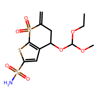 C=C1CC(OC(OC)OCC)c2cc(S(N)(=O)=O)sc2S1(=O)=O